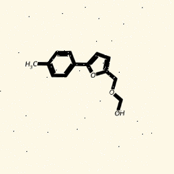 Cc1ccc(-c2ccc(COCO)o2)cc1